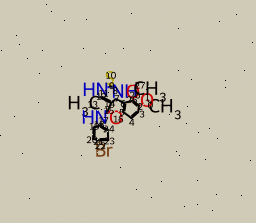 COc1cccc(C2NC(=S)NC(C)=C2C(=O)Nc2ccc(Br)cc2)c1OC